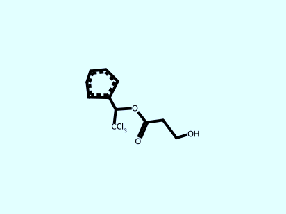 O=C(CCO)OC(c1ccccc1)C(Cl)(Cl)Cl